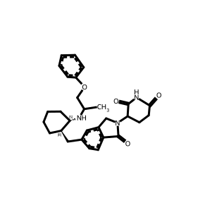 CC(COc1ccccc1)N[C@H]1CCCC[C@@H]1Cc1ccc2c(c1)CN(C1CCC(=O)NC1=O)C2=O